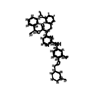 COc1cccc(CN(C(=O)O[C@@H](C)c2ccccc2)c2ccnc(Nc3ccc(OCC4CCCN(C)C4)c(F)c3)n2)c1